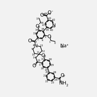 CCOc1cc(C(=O)N2CCC3(CC2)CC(=O)c2cc(-c4cccc(C(N)=O)c4)ccc2O3)cc(OCC)c1-c1cncc(C(=O)[O-])c1.[Na+]